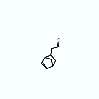 O=[C]CC1CC2C=CC1C2